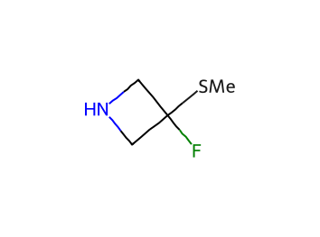 CSC1(F)CNC1